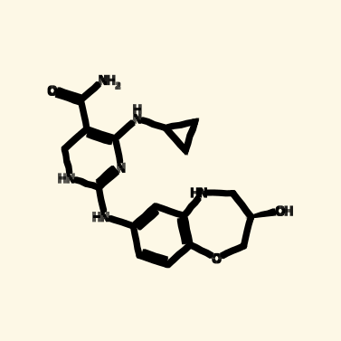 NC(=O)C1=C(NC2CC2)N=C(Nc2ccc3c(c2)NC[C@@H](O)CO3)NC1